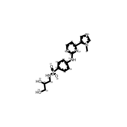 Cn1cncc1-c1ccnc(Nc2ccc(S(=O)(=O)NCC(O)CO)cc2)n1